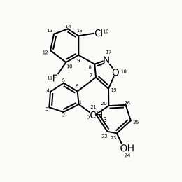 Cc1ccccc1-c1c(-c2c(F)cccc2Cl)noc1-c1ccc(O)cc1